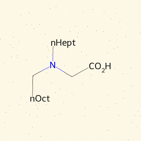 CCCCCCCCCN(CCCCCCC)CC(=O)O